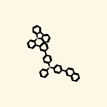 c1ccc(N(c2ccc(-c3cccc(-c4ccccc4-n4c5ccccc5c5ccccc54)c3)cc2)c2ccc(-c3ccc4ccccc4c3)cc2)cc1